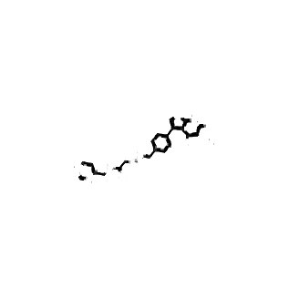 N#Cc1c(O)c2c(-c3ccc(C=NOCC(=O)NCc4ccncn4)cc3)csc2[nH]c1=O